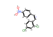 O=[N+]([O-])c1ccc(/C=C\c2ccc(Cl)cc2Cl)cc1